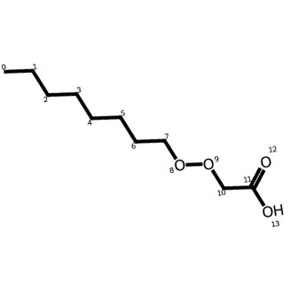 CCCCCCCCOOCC(=O)O